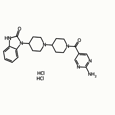 Cl.Cl.Nc1ncc(C(=O)N2CCC(N3CCC(n4c(=O)[nH]c5ccccc54)CC3)CC2)cn1